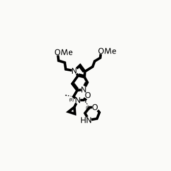 COCCCc1cn(CCCOC)c2cc([C@@H](C)N(C(=O)[C@H]3CNCCO3)C3CC3)ncc12